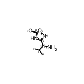 CC(C)N(N)c1noc(=O)[nH]1